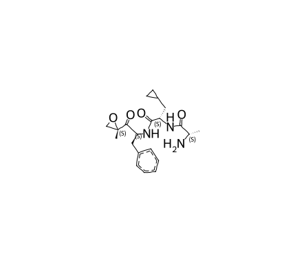 C[C@H](N)C(=O)N[C@@H](CC1CC1)C(=O)N[C@@H](Cc1ccccc1)C(=O)[C@]1(C)CO1